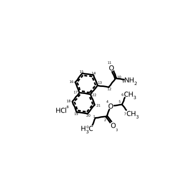 CCC(=O)OC(C)C.Cl.NC(=O)Cc1cccc2ccccc12